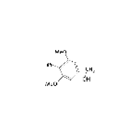 CO.COc1cccc(OC)c1C(C)C